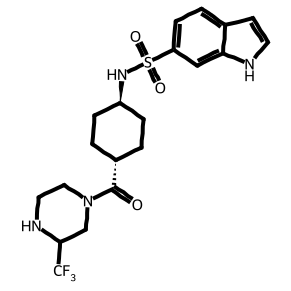 O=C([C@H]1CC[C@H](NS(=O)(=O)c2ccc3cc[nH]c3c2)CC1)N1CCNC(C(F)(F)F)C1